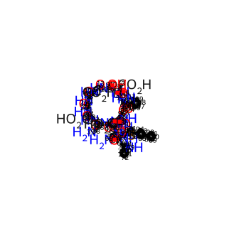 C[C@H](CC(=O)O)C1NC(=O)[C@@H](CO)NC(=O)CNC(=O)[C@H](CC(=O)O)NC(=O)[C@@H](C)NC(=O)[C@H](CC(=O)O)NC(=O)[C@H](CCCN)NC(=O)CNC(=O)[C@@H](NC(=O)[C@H](CC(=O)O)NC(=O)[C@@H](CC(N)=O)NC(=O)[C@H](Cc2c[nH]c3ccccc23)NC(=O)c2ccc(-c3ccc(-c4ccccc4)cc3)s2)[C@@H](C)OC(=O)[C@H](CC(=O)c2ccccc2N)NC1=O